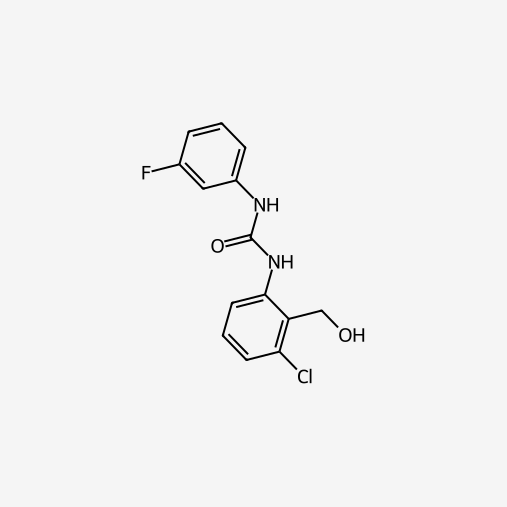 O=C(Nc1cccc(F)c1)Nc1cccc(Cl)c1CO